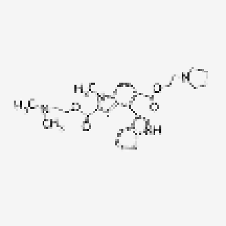 CN(C)CCOC(=O)c1[c]c2c(-c3c[nH]c4ccccc34)c(C(=O)OCCN3CCCC3)ccc2n1C